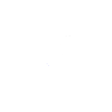 COC12CCC[C@H]1CN(C)C2